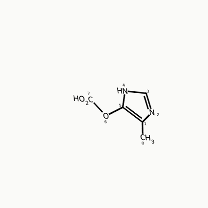 Cc1nc[nH]c1OC(=O)O